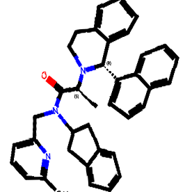 COc1cccc(CN(C(=O)[C@H](C)N2CCc3ccccc3[C@@H]2c2cccc3ccccc23)C2Cc3ccccc3C2)n1